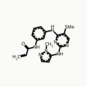 C=CC(=O)Nc1cccc(Nc2nc(Nc3ccnn3C)ncc2SC)c1